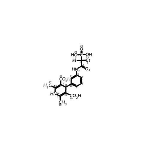 CCC(CC)(C(=O)Nc1cccc(C2C(C(=O)O)=C(C)NC(C)=C2C(=O)O)c1)P(=O)(O)O